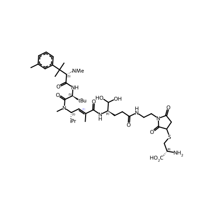 CN[C@H](C(=O)N[C@H](C(=O)N(C)[C@H](/C=C(\C)C(=O)N[C@H](CCC(=O)NCCN1C(=O)CC(SC[C@H](N)C(=O)O)C1=O)C(O)O)C(C)C)C(C)(C)C)C(C)(C)c1cccc(C)c1